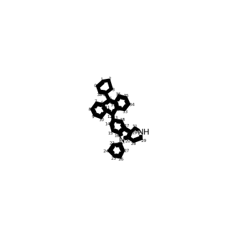 C1=CCCC(c2c3ccccc3c(-c3ccc4c(c3)c3c(n4-c4ccccc4)C=CNC3)c3ccccc23)=C1